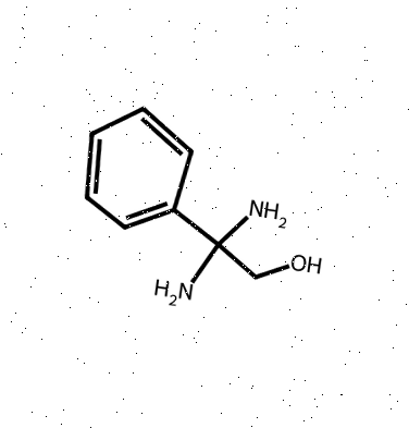 NC(N)(CO)c1ccccc1